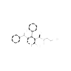 O=C(NCCO)c1c(Cl)ncc(C(c2ccccc2)C(F)(F)F)c1-c1ccccc1